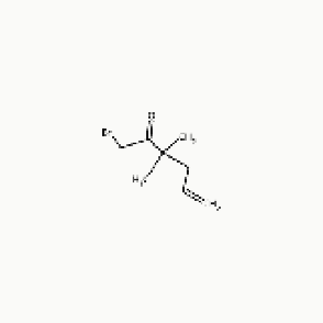 C=CCC(C)(C)C(=O)CBr